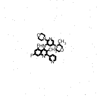 Cc1c(-c2cccnc2)nc2cc(F)cc(F)c2c1Nc1cc(N2CCOC[C@@H]2C)cnc1N1CCOCC1